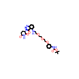 CC(C)(C)OC(=O)Nc1cccc(OCCOCCOCCNc2cccc3nnn(C4CCC(=O)NC4=O)c(=O)c23)c1